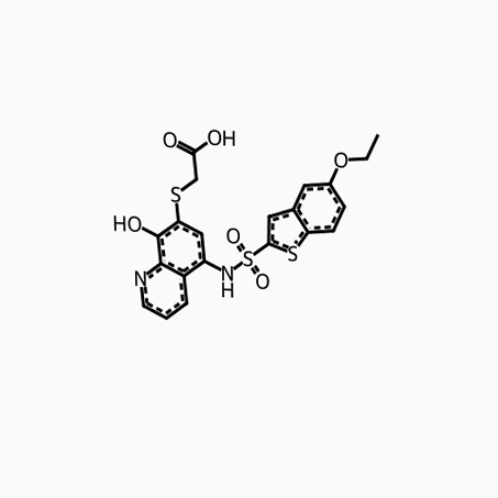 CCOc1ccc2sc(S(=O)(=O)Nc3cc(SCC(=O)O)c(O)c4ncccc34)cc2c1